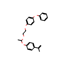 C=C(C)c1ccc(OC(C)OCCOc2ccc(Oc3ccccc3)cc2)cc1